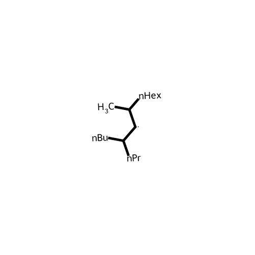 CCCCCCC(C)[CH]C(CCC)CCCC